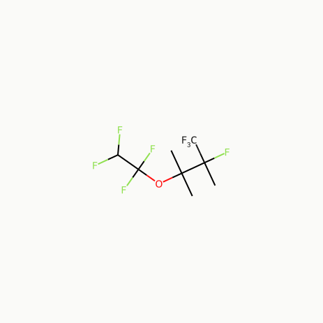 CC(C)(OC(F)(F)C(F)F)C(C)(F)C(F)(F)F